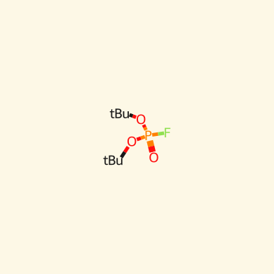 CC(C)(C)OP(=O)(F)OC(C)(C)C